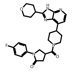 O=C(C1CC(=O)N(c2ccc(F)cc2)C1)N1CCC(c2ccnc3[nH]c(C4CCOCC4)nc23)CC1